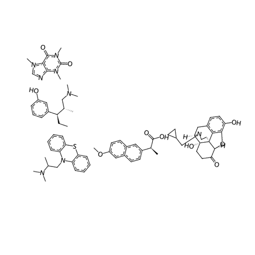 CC(CN1c2ccccc2Sc2ccccc21)N(C)C.CC[C@@H](c1cccc(O)c1)[C@@H](C)CN(C)C.COc1ccc2cc([C@H](C)C(=O)O)ccc2c1.Cn1c(=O)c2c(ncn2C)n(C)c1=O.O=C1CC[C@@]2(O)[C@H]3Cc4ccc(O)c5c4[C@@]2(CCN3CC2CC2)[C@H]1O5